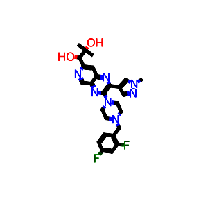 Cn1cc(-c2nc3cc(C(O)C(C)(C)O)ncc3nc2N2CCN(Cc3ccc(F)cc3F)CC2)cn1